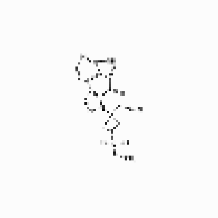 CCS(=O)(=O)N1CC(CC#N)(n2ncc3c2C(=O)c2c[nH]c4nccc-3c24)C1